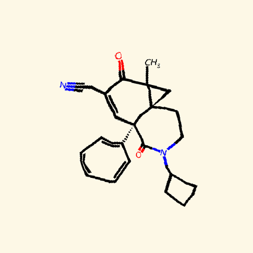 CC12C[C@]13CCN(C1CCC1)C(=O)[C@@]3(c1ccccc1)C=C(C#N)C2=O